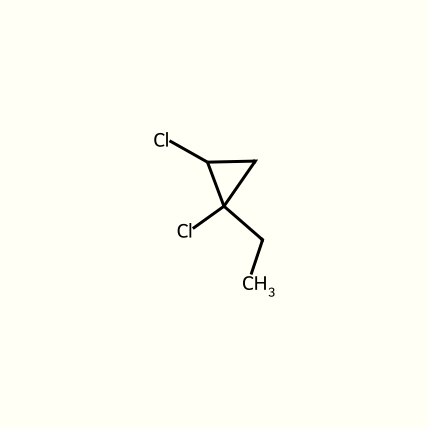 CCC1(Cl)CC1Cl